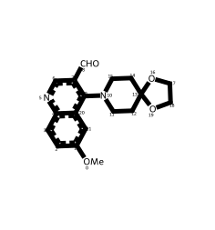 COc1ccc2ncc(C=O)c(N3CCC4(CC3)OCCO4)c2c1